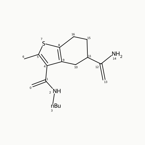 C=C(NCCCC)c1c(C)sc2c1CC(C(=C)N)CC2